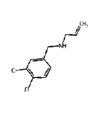 C=CCNCc1ccc(Cl)c(Cl)c1